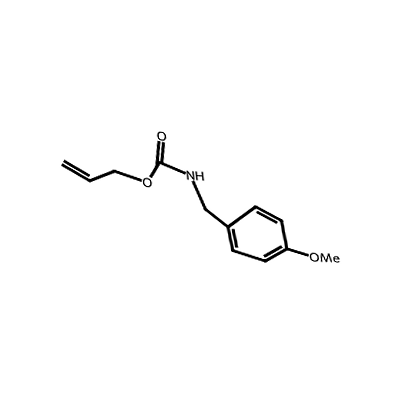 C=CCOC(=O)NCc1ccc(OC)cc1